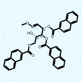 CO/N=C/[C@H](OC(=O)c1ccc2ccccc2c1)[C@@H](OC(=O)c1ccc2ccccc2c1)[C@@H](O)COC(=O)c1ccc2ccccc2c1